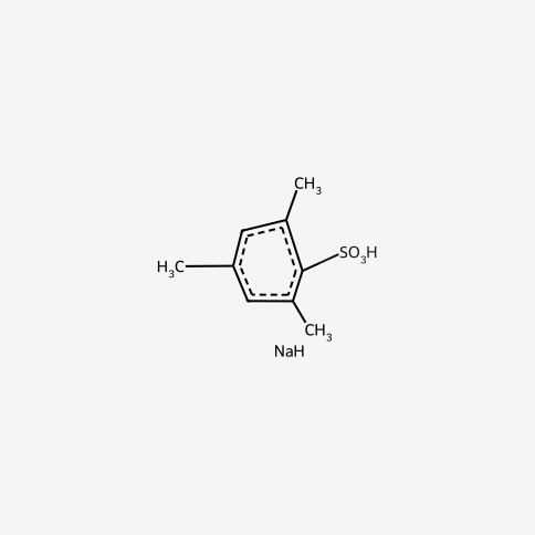 Cc1cc(C)c(S(=O)(=O)O)c(C)c1.[NaH]